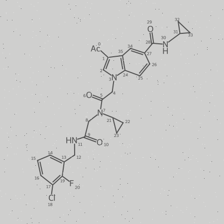 CC(=O)c1cn(CC(=O)N(CC(=O)NCc2cccc(Cl)c2F)C2CC2)c2ccc(C(=O)NC3CC3)cc12